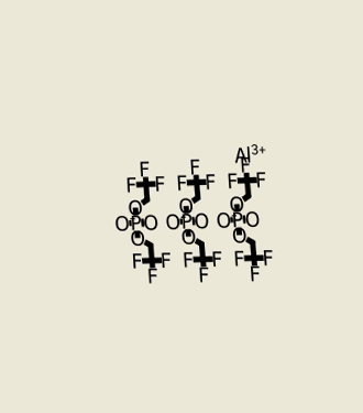 O=P([O-])(OCC(F)(F)F)OCC(F)(F)F.O=P([O-])(OCC(F)(F)F)OCC(F)(F)F.O=P([O-])(OCC(F)(F)F)OCC(F)(F)F.[Al+3]